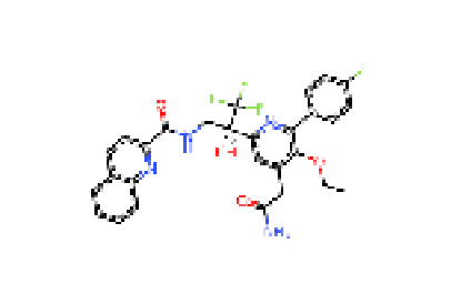 CCOc1c(CC(N)=O)cc([C@@](O)(CNC(=O)c2ccc3ccccc3n2)C(F)(F)F)nc1-c1ccc(F)cc1